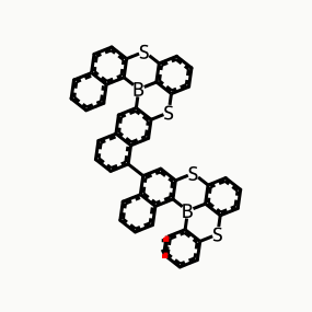 c1cc2c3c(c1)Sc1ccc4ccccc4c1B3c1cc3cccc(-c4cc5c(c6ccccc46)B4c6c(cccc6S5)Sc5ccc6ccccc6c54)c3cc1S2